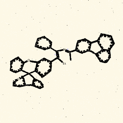 CC/C(=C(\N=C(/C)c1ccc2c(c1)-c1cccc3cccc-2c13)c1ccccc1)c1ccc2c(c1)Oc1ccccc1C21c2ccccc2-c2ccccc21